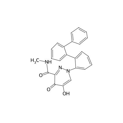 CNC(=O)c1nn(-c2ccccc2-c2ccccc2-c2ccccc2)cc(O)c1=O